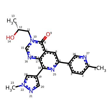 Cc1ccc(-c2cc3c(=O)n(C[C@@H](C)O)cnc3c(-c3cnn(C)c3)n2)cn1